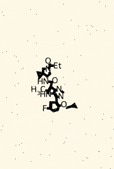 CCC(=O)N1C[C@@H](NC(=O)c2c(C)[nH]c3c(-c4cc(F)ccc4OCC4CC4)ncnc23)C2(CC2)C1